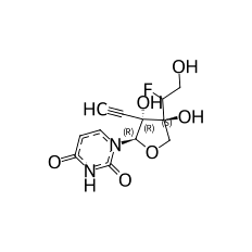 C#C[C@]1(O)[C@H](n2ccc(=O)[nH]c2=O)OC[C@@]1(O)C(F)CO